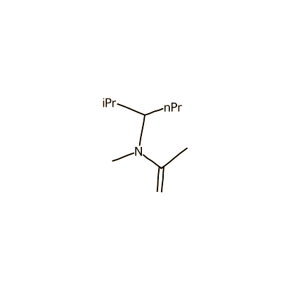 C=C(C)N(C)C(CCC)C(C)C